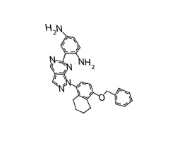 Nc1ccc(N)c(-c2ncc3cnn(-c4ccc(OCc5ccccc5)c5c4CCCC5)c3n2)c1